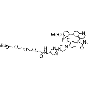 CCCCOCCOCCOCCOCCC(=O)NCc1cnc(N2CCN(c3ccc(-n4c(=O)n(C)c5cnc6ccc(-c7ccc(OC)nc7)cc6c54)cc3C(F)(F)F)CC2)nc1